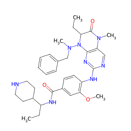 CCC(NC(=O)c1ccc(Nc2ncc3c(n2)N(N(C)Cc2ccccc2)C(CC)C(=O)N3C)c(OC)c1)C1CCNCC1